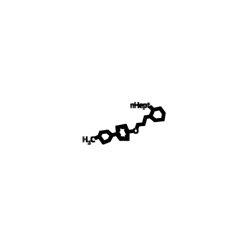 CCCCCCCC1CCCCC1CCCOc1ccc(C2CCC(C)CC2)cc1